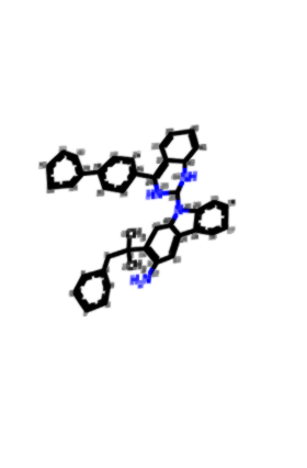 CC(C)(Cc1ccccc1)C1=C(N)C=C2c3ccccc3N(C3NC(c4ccc(-c5ccccc5)cc4)=C4C=CC=CC4N3)C2C1